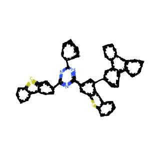 c1ccc(-c2nc(-c3ccc4c(c3)sc3ccccc34)nc(-c3cc(-c4ccc5c6ccccc6c6ccccc6c5c4)c4c(c3)sc3ccccc34)n2)cc1